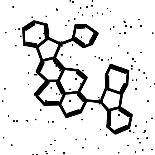 c1ccc(-n2c3ccccc3c3cc4ccc5ccc(-n6c7ccccc7c7ccccc76)c6ccc(c4c56)c32)cc1